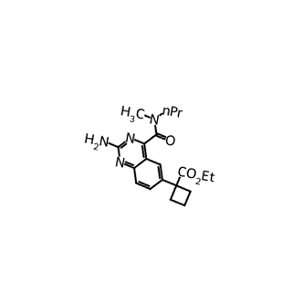 CCCN(C)C(=O)c1nc(N)nc2ccc(C3(C(=O)OCC)CCC3)cc12